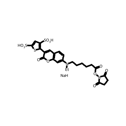 CCN(CCCCCC(=O)ON1C(=O)CCC1=O)c1ccc2cc(-c3sc(S(=O)(=O)O)cc3S(=O)(=O)O)c(=O)oc2c1.[NaH]